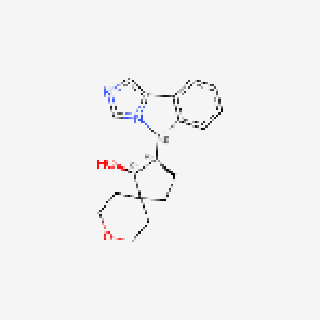 O[C@H]1[C@@H]([C@H]2c3ccccc3-c3cncn32)CCC12CCOCC2